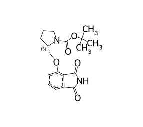 CC(C)(C)OC(=O)N1CCC[C@H]1COc1cccc2c1C(=O)NC2=O